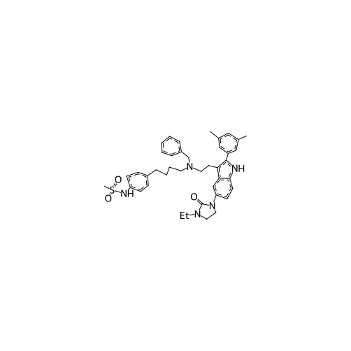 CCN1CCN(c2ccc3[nH]c(-c4cc(C)cc(C)c4)c(CCN(CCCCc4ccc(NS(C)(=O)=O)cc4)Cc4ccccc4)c3c2)C1=O